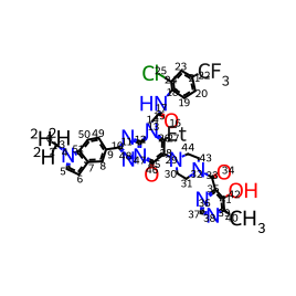 [2H]C([2H])([2H])n1ccc2cc(-c3nc4n(CC(=O)Nc5ccc(C(F)(F)F)cc5Cl)c(CC)c(N5CCN(C(=O)c6ncnc(C)c6O)CC5)c(=O)n4n3)ccc21